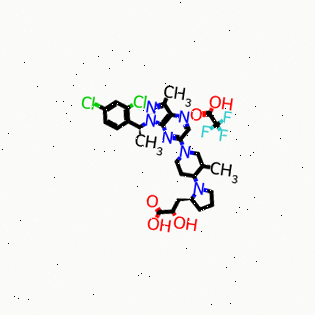 Cc1nn([C@H](C)c2ccc(Cl)cc2Cl)c2nc(N3CCC(N4CCC[C@H]4CC(O)C(=O)O)C(C)C3)cnc12.O=C(O)C(F)(F)F